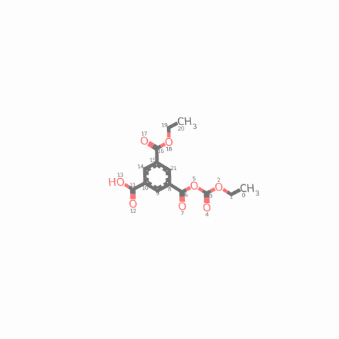 CCOC(=O)OC(=O)c1cc(C(=O)O)cc(C(=O)OCC)c1